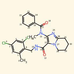 Cc1cc(Cl)cc(Cl)c1CNC(=O)c1c(N(C)C(=O)c2ccccc2)nc2n1CCCC2